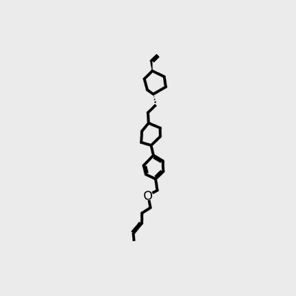 C=C[C@H]1CC[C@H](CCC2CCC(c3ccc(COCCC=CC)cc3)CC2)CC1